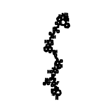 CCC(C)(CC)n1nnc2c1-c1ccccc1N(C(=O)CCC(=O)NCC(=O)NCC(=O)N[C@@H](Cc1ccccc1)C(=O)NCC(=O)NCOCCn1cnc3c(ncn3[C@@H]3O[C@H](CO[PH](=O)O[C@H]4[C@@H](F)[C@H](n5cc6c7c(ncnc75)NCCC6)O[C@@H]4CO[PH](=O)S)[C@@H](O)C3(C)C)c1=O)Cc1ccccc1-2